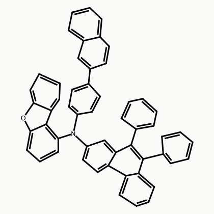 c1ccc(-c2c(-c3ccccc3)c3cc(N(c4ccc(-c5ccc6ccccc6c5)cc4)c4cccc5oc6ccccc6c45)ccc3c3ccccc23)cc1